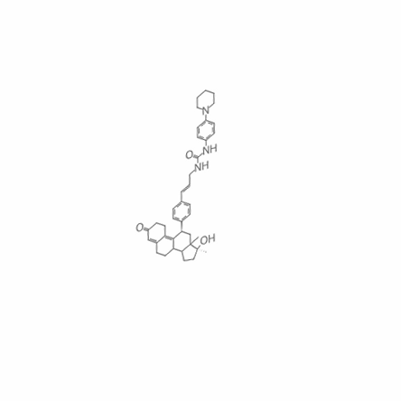 CC12C[C@H](c3ccc(/C=C/CNC(=O)Nc4ccc(N5CCCCC5)cc4)cc3)C3=C4CCC(=O)C=C4CCC3C1CC[C@]2(C)O